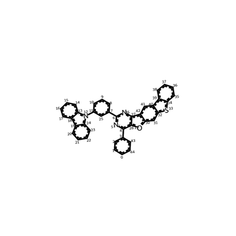 c1ccc(-c2nc(-c3cccc(-n4c5ccccc5c5ccccc54)c3)nc3c2oc2cc4sc5ccccc5c4cc23)cc1